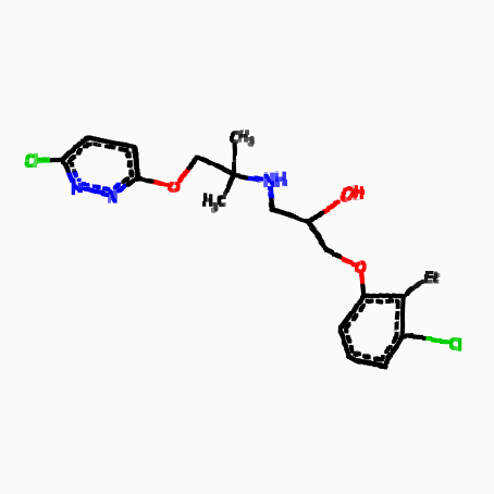 CCc1c(Cl)cccc1OCC(O)CNC(C)(C)COc1ccc(Cl)nn1